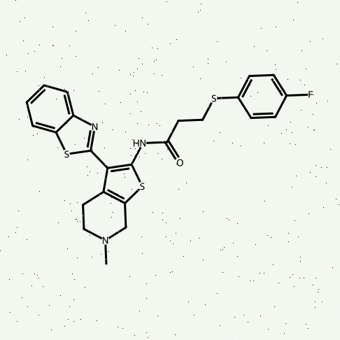 CN1CCc2c(sc(NC(=O)CCSc3ccc(F)cc3)c2-c2nc3ccccc3s2)C1